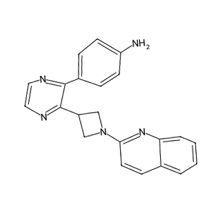 Nc1ccc(-c2nccnc2C2CN(c3ccc4ccccc4n3)C2)cc1